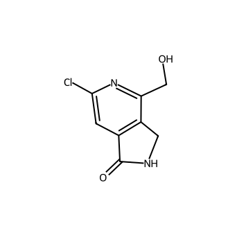 O=C1NCc2c1cc(Cl)nc2CO